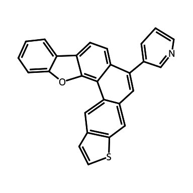 c1cncc(-c2cc3cc4sccc4cc3c3c2ccc2c4ccccc4oc23)c1